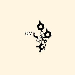 COCCON(c1onc(C)c1C)S(=O)(=O)c1cccc(C)c1Oc1ccc(C)cc1